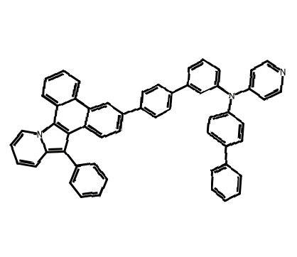 c1ccc(-c2ccc(N(c3ccncc3)c3cccc(-c4ccc(-c5ccc6c(c5)c5ccccc5c5c6c(-c6ccccc6)c6ccccn65)cc4)c3)cc2)cc1